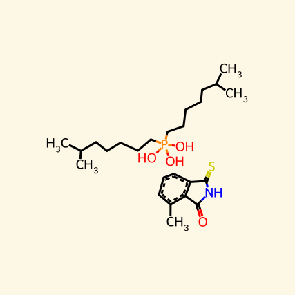 CC(C)CCCCCP(O)(O)(O)CCCCCC(C)C.Cc1cccc2c1C(=O)NC2=S